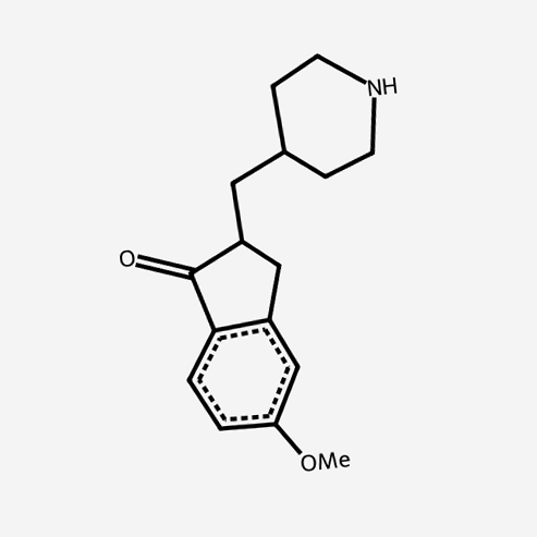 COc1ccc2c(c1)CC(CC1CCNCC1)C2=O